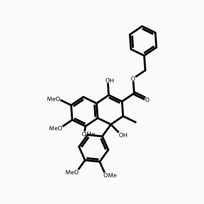 COc1ccc(C2(O)c3c(cc(OC)c(OC)c3OC)C(O)=C(C(=O)OCc3ccccc3)C2C)cc1OC